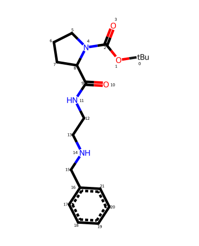 CC(C)(C)OC(=O)N1CCCC1C(=O)NCCNCc1ccccc1